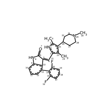 Cc1[nH]c(/C=C2\C(=O)Nc3cccc(-c4c(F)cccc4F)c32)c(C)c1C1CCN(C)CC1